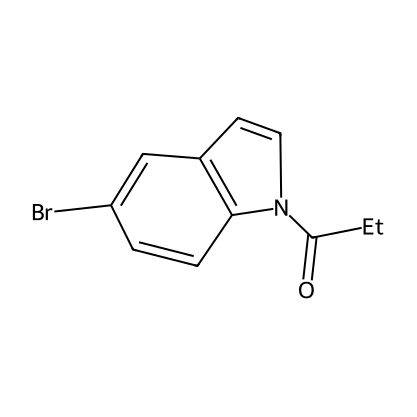 CCC(=O)n1ccc2cc(Br)ccc21